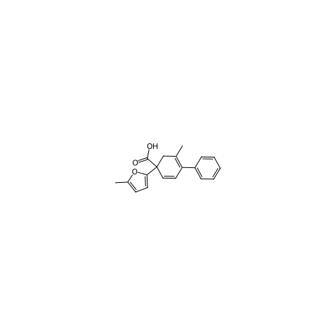 CC1=C(c2ccccc2)C=CC(C(=O)O)(c2ccc(C)o2)C1